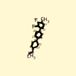 C/C=C/C1C=CC(c2ccc(-c3ccc(C)c(F)c3F)cc2)CC1